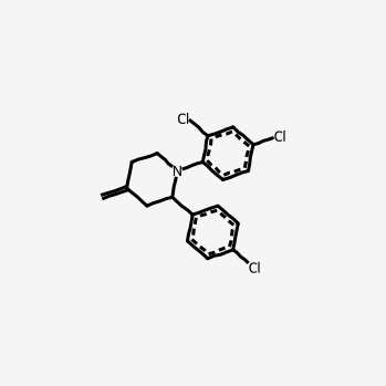 C=C1CCN(c2ccc(Cl)cc2Cl)C(c2ccc(Cl)cc2)C1